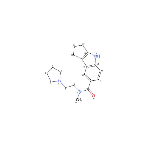 CN(CCN1CCCC1)C(=O)c1ccc2[nH]c3c(c2c1)CCC3